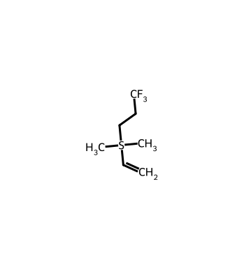 C=CS(C)(C)CCC(F)(F)F